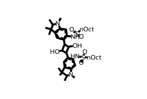 CCCCCCCCS(=O)(=O)Nc1cc2c(cc1C1C(O)C(c3cc4c(cc3NS(=O)(=O)CCCCCCCC)N(C)C(C)C4(C)C)C1O)C(C)(C)C(C)N2C